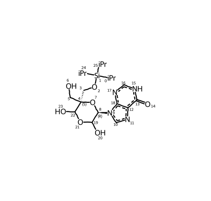 CC(C)[Si](OC[C@]1(CO)O[C@@H](n2cnc3c(=O)[nH]cnc32)C(O)OC1O)(C(C)C)C(C)C